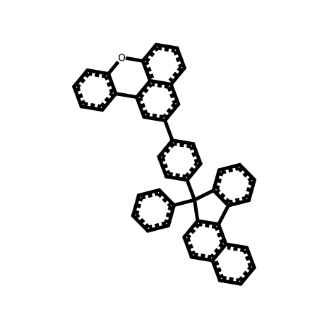 c1ccc(C2(c3ccc(-c4cc5c6c(cccc6c4)Oc4ccccc4-5)cc3)c3ccccc3-c3c2ccc2ccccc32)cc1